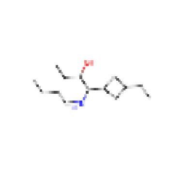 CCC/C=N\C(C(O)CC)C1CC(CC)C1